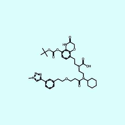 Cn1cc(-c2cccc(CCOCCC(=O)N(CCN(CCc3ccc(OC(=O)OC(C)(C)C)c4c3OCC(=O)N4)C(=O)O)C3CCCCC3)c2)nn1